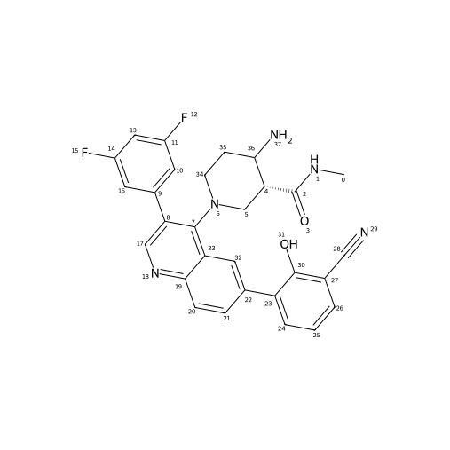 CNC(=O)[C@@H]1CN(c2c(-c3cc(F)cc(F)c3)cnc3ccc(-c4cccc(C#N)c4O)cc23)CCC1N